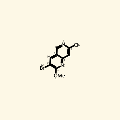 COc1nc2cc(Cl)ncc2cc1Br